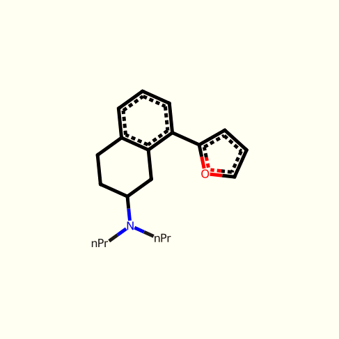 CCCN(CCC)C1CCc2cccc(-c3ccco3)c2C1